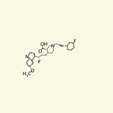 COc1ccc2nccc([C@@H](F)CC[C@@H]3CCN(CC#Cc4cccc(F)c4)C[C@@H]3C(=O)O)c2c1